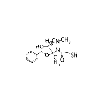 CN(C)N(C(=O)CS)C(C)(OCc1ccccc1)C(=O)O